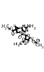 CCOC(=O)C1(Cn2c(=O)n([C@@H]3O[C@H](COC(C)=O)[C@@H](F)[C@H]3OC(C)=O)c3nc(N)ncc32)CC1